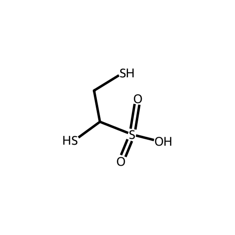 O=S(=O)(O)C(S)CS